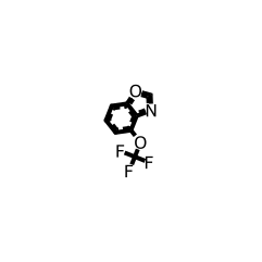 FC(F)(F)Oc1cccc2ocnc12